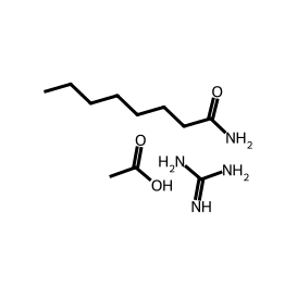 CC(=O)O.CCCCCCCC(N)=O.N=C(N)N